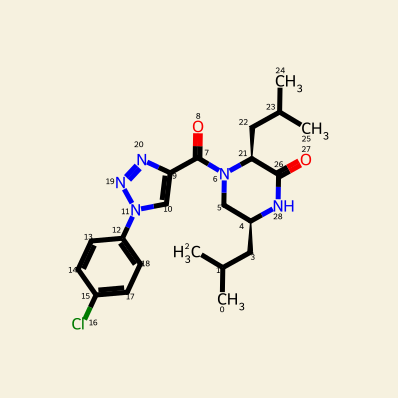 CC(C)C[C@H]1CN(C(=O)c2cn(-c3ccc(Cl)cc3)nn2)[C@@H](CC(C)C)C(=O)N1